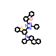 c1ccc(-c2nc(-c3cccc4c3oc3ccccc34)nc(-c3cc(-n4c5ccccc5c5c6ccc7ccccc7c6ccc54)cc4c3sc3ccccc34)n2)cc1